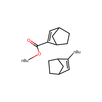 CCCCC1=CC2CCC1C2.CCCCOC(=O)C1=CC2CCC1C2